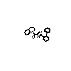 O=C(c1csc(-c2ccccc2-c2ccccc2)n1)N1CCCC2CCCC=C21